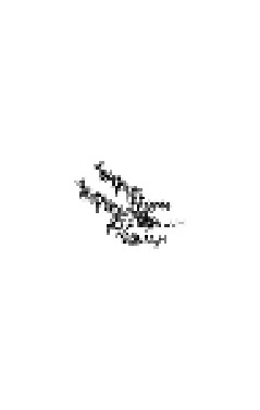 COCCn1c(Cc2cc(F)c(-c3cccc(OCc4ccc(-c5cnn(C6CC6)c5)cc4F)n3)cc2F)nc2ccc(C(=O)O)cc21.COCCn1c(Cc2cc(F)c(-c3cccc(OCc4ccc(-c5cnn(C6CC6)c5)cc4F)n3)cc2F)nc2ccc(C(=O)O)cc21